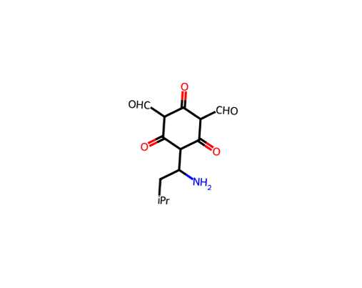 CC(C)CC(N)C1C(=O)C(C=O)C(=O)C(C=O)C1=O